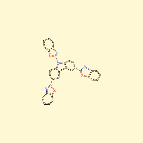 c1ccc2oc(-c3ccc4c(c3)c3cc(-c5nc6ccccc6o5)ccc3n4-c3nc4ccccc4o3)nc2c1